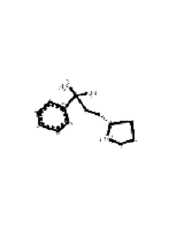 CC(O)(CC[C@@H]1CCCN1)c1ccccc1